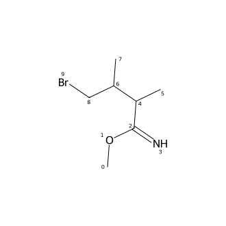 COC(=N)C(C)C(C)CBr